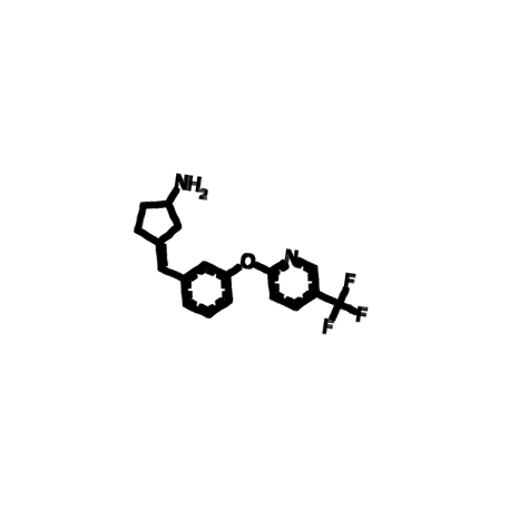 NC1CCC(=Cc2cccc(Oc3ccc(C(F)(F)F)cn3)c2)C1